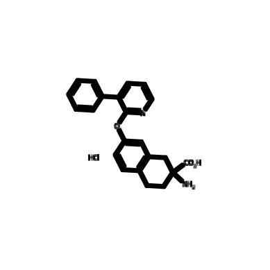 Cl.NC1(C(=O)O)CCc2ccc(Oc3ncccc3-c3ccccc3)cc2C1